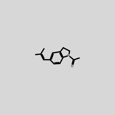 CC(=O)N1CCc2cc(C=C(C)C)ccc21